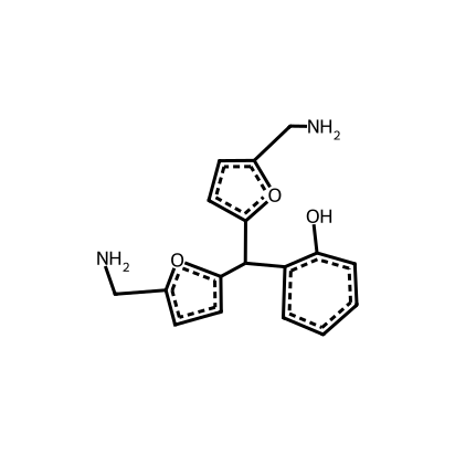 NCc1ccc(C(c2ccc(CN)o2)c2ccccc2O)o1